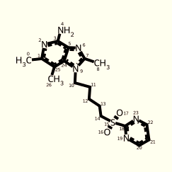 Cc1nc(N)c2nc(C)n(CCCCCS(=O)(=O)c3ncccn3)c2c1C